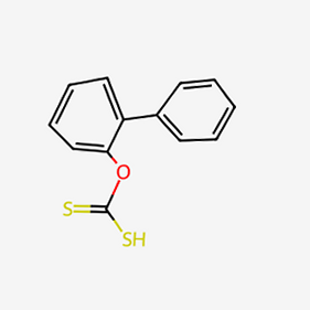 S=C(S)Oc1ccccc1-c1ccccc1